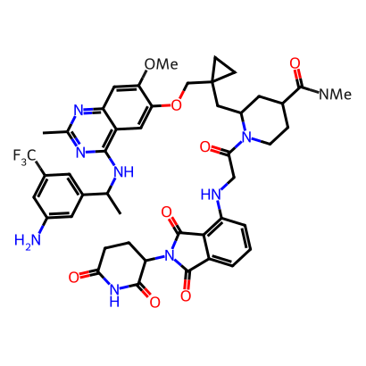 CNC(=O)C1CCN(C(=O)CNc2cccc3c2C(=O)N(C2CCC(=O)NC2=O)C3=O)C(CC2(COc3cc4c(NC(C)c5cc(N)cc(C(F)(F)F)c5)nc(C)nc4cc3OC)CC2)C1